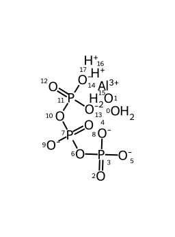 O.O.O=P([O-])([O-])OP(=O)([O-])OP(=O)([O-])[O-].[Al+3].[H+].[H+]